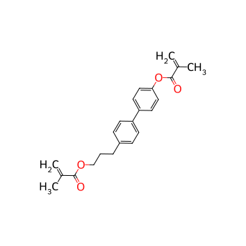 C=C(C)C(=O)OCCCc1ccc(-c2ccc(OC(=O)C(=C)C)cc2)cc1